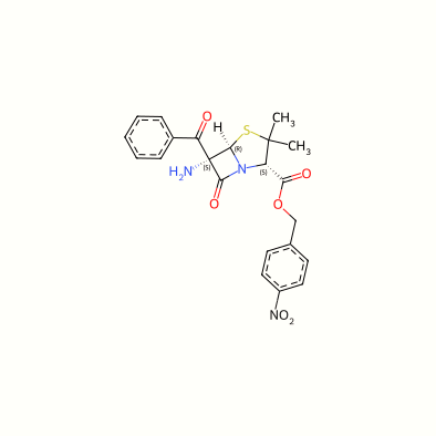 CC1(C)S[C@H]2N(C(=O)[C@@]2(N)C(=O)c2ccccc2)[C@H]1C(=O)OCc1ccc([N+](=O)[O-])cc1